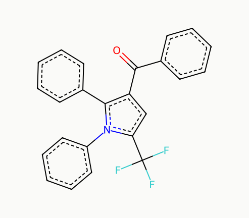 O=C(c1ccccc1)c1cc(C(F)(F)F)n(-c2ccccc2)c1-c1ccccc1